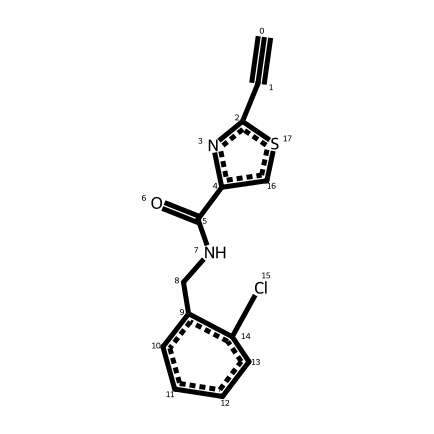 C#Cc1nc(C(=O)NCc2ccccc2Cl)cs1